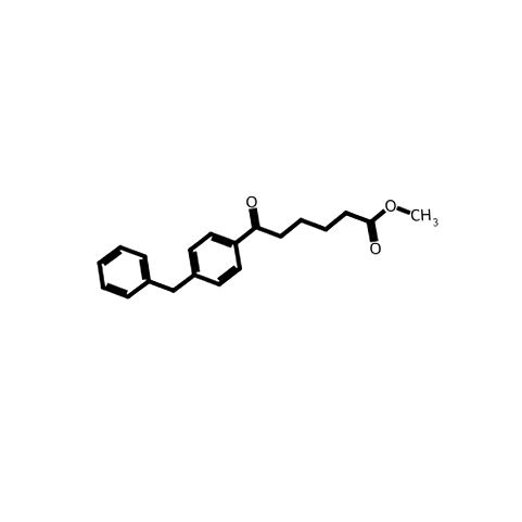 COC(=O)CCCCC(=O)c1ccc(Cc2ccccc2)cc1